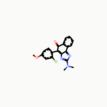 COc1ccc(C2=C3N=C(N(C)C)N=C3c3ccccc3C2=O)c(Cl)c1